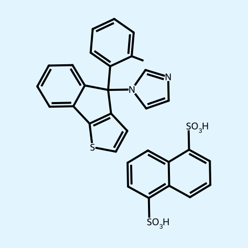 Cc1ccccc1C1(n2ccnc2)c2ccccc2-c2sccc21.O=S(=O)(O)c1cccc2c(S(=O)(=O)O)cccc12